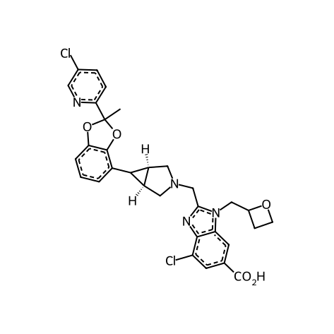 CC1(c2ccc(Cl)cn2)Oc2cccc(C3[C@H]4CN(Cc5nc6c(Cl)cc(C(=O)O)cc6n5CC5CCO5)C[C@@H]34)c2O1